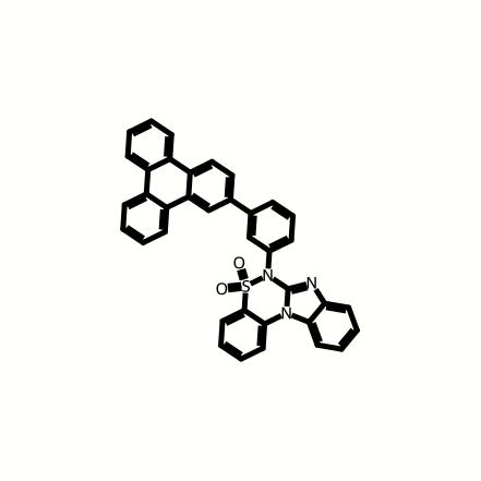 O=S1(=O)c2ccccc2-n2c(nc3ccccc32)N1c1cccc(-c2ccc3c4ccccc4c4ccccc4c3c2)c1